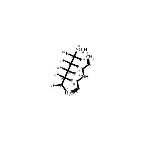 C=CCNCC=C.CCCCCCCC(F)C(F)(F)C(F)(F)C(F)(F)C(F)(F)S(=O)(=O)O